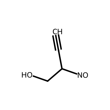 C#CC(CO)N=O